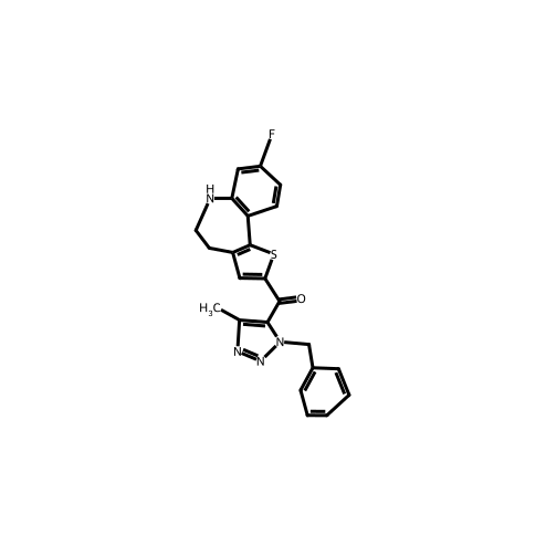 Cc1nnn(Cc2ccccc2)c1C(=O)c1cc2c(s1)-c1ccc(F)cc1NCC2